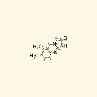 Cc1ccc2c(c1C)CN1CC(=O)NC1=N2